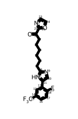 O=C(CCCCCCc1ncc(-c2cc(C(F)(F)F)ccc2F)[nH]1)c1ncco1